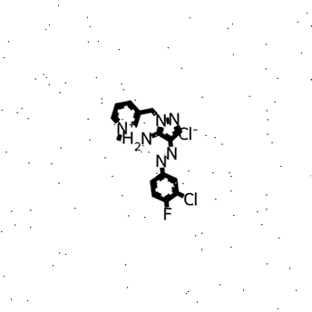 C[n+]1cccc(Cn2ncc(N=Nc3ccc(F)c(Cl)c3)c2N)c1.[Cl-]